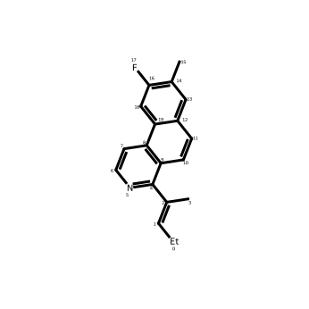 CC/C=C(\C)c1nccc2c1ccc1cc(C)c(F)cc12